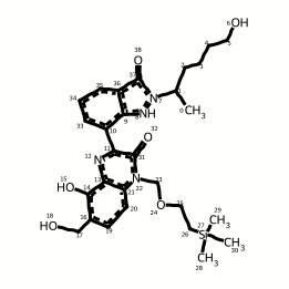 CC(CCCCO)n1[nH]c2c(-c3nc4c(O)c(CO)ccc4n(COCC[Si](C)(C)C)c3=O)cccc2c1=O